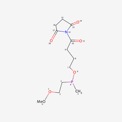 COOCCP(C)OCCCC(=O)N1C(=O)CCC1=O